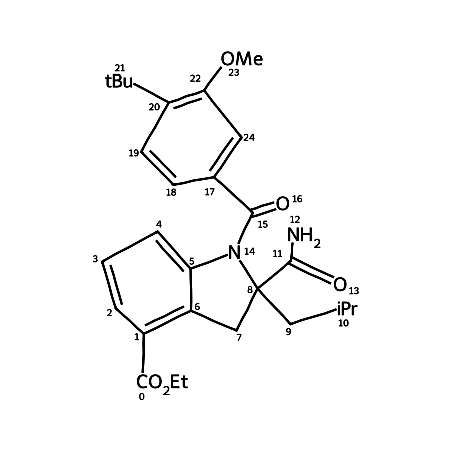 CCOC(=O)c1cccc2c1CC(CC(C)C)(C(N)=O)N2C(=O)c1ccc(C(C)(C)C)c(OC)c1